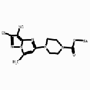 CCc1nn2c(C)cc(N3CCN(C(=O)OC(C)(C)C)CC3)nc2c1N=O